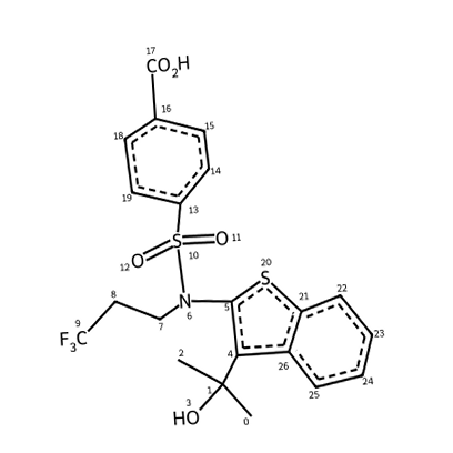 CC(C)(O)c1c(N(CCC(F)(F)F)S(=O)(=O)c2ccc(C(=O)O)cc2)sc2ccccc12